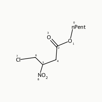 CCCCCOC(=O)CC(CCl)[N+](=O)[O-]